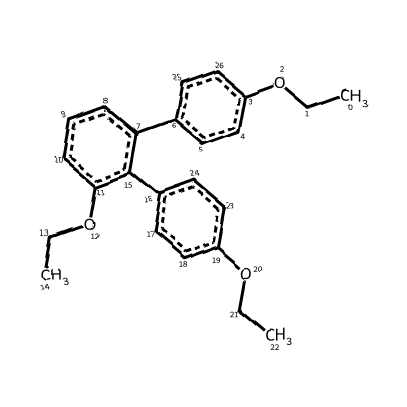 CCOc1ccc(-c2[c]ccc(OCC)c2-c2ccc(OCC)cc2)cc1